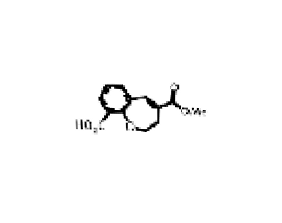 COC(=O)C1=Cc2cccc(C(=O)O)c2OCC1